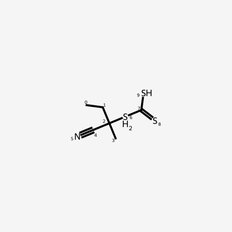 CCC(C)(C#N)[SH2]C(=S)S